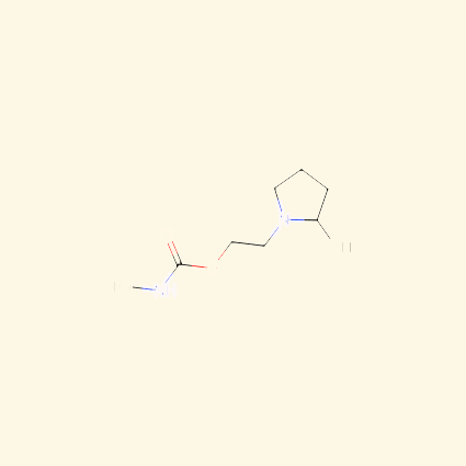 CC1CCCN1CCOC(=O)NC(C)(C)C